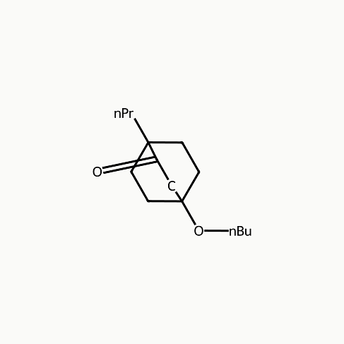 CCCCOC12CCC(CCC)(CC1)C(=O)C2